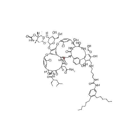 CCCCCCc1ccc(NC(=O)NCCCCNCc2c(O)cc3c(c2O)-c2cc(ccc2O)[C@H]2CC(=O)[C@@H]4NC(=O)[C@H](CC(N)=O)CC(=O)[C@H](NC(=O)[C@H](CC)CC(C)C)[C@H](O)c5ccc(c(Cl)c5)Oc5cc4cc(c5O[C@@H]4O[C@H](CO)[C@@H](O)[C@H](O)[C@H]4O[C@H]4C[C@]5(C)NC(=O)O[C@@H]5[C@H](C)O4)Oc4ccc(cc4Cl)[C@@H](O)[C@H](NC2=O)C(=O)N[C@@H]3C(=O)O)cc1CCCCCC